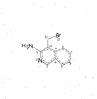 Nc1ncc2ccccc2c1CBr